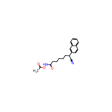 CC(=O)ONC(=O)CCCCCC(C#N)c1ccc2ccccc2c1